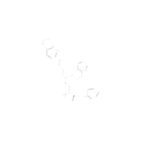 Cc1ccccc1OOC(=O)[C@@H](N)CCN(CCCCc1ccc2c(n1)NCCC2)CCOc1ccccn1